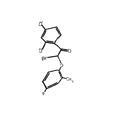 Cc1cc(F)ccc1OC(Br)C(=O)c1ccc(Cl)cc1Cl